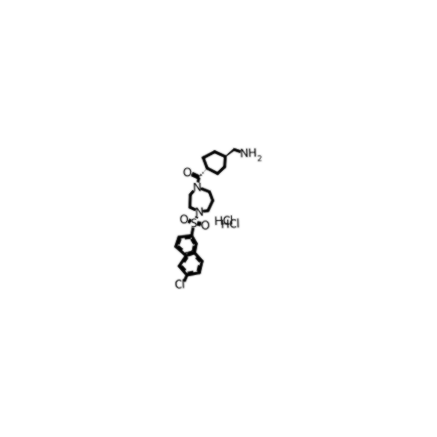 Cl.Cl.NC[C@H]1CC[C@H](C(=O)N2CCCN(S(=O)(=O)c3ccc4cc(Cl)ccc4c3)CC2)CC1